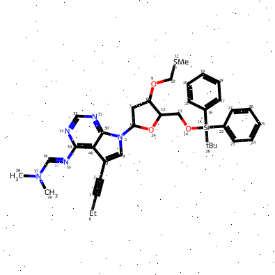 CCC#Cc1cn(C2CC(OCSC)C(CO[Si](c3ccccc3)(c3ccccc3)C(C)(C)C)O2)c2ncnc(/N=C/N(C)C)c12